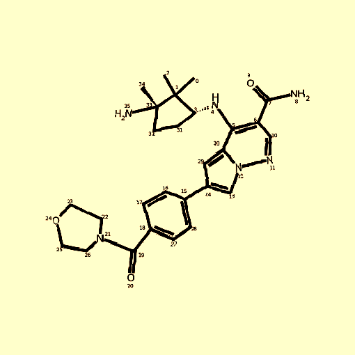 CC1(C)[C@H](Nc2c(C(N)=O)cnn3cc(-c4ccc(C(=O)N5CCOCC5)cc4)cc23)CC[C@]1(C)N